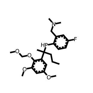 CCCC(C)(Pc1ccc(F)cc1CN(C)C)c1cc(OC)cc(OC)c1OCOC